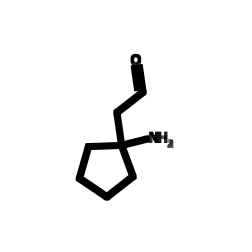 NC1(CC=O)CCCC1